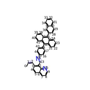 C/C=C\c1ccc2cccnc2c1/C=N/c1ccc(-c2c3ccccc3c(-c3ccc4ccccc4c3)c3ccccc23)cc1